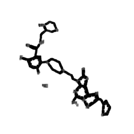 Cl.Nc1nc2c(sc(=O)n2CCN2CCN(c3cc(C(=O)NCC4COCCN4)c(F)cc3F)CC2)c2nc(-c3ccco3)nn12